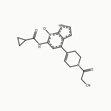 N#CCC(=O)N1CC=C(c2cc(NC(=O)C3CC3)[n+]([O-])c3[nH]ccc23)CC1